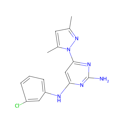 Cc1cc(C)n(-c2cc(Nc3cccc(Cl)c3)nc(N)n2)n1